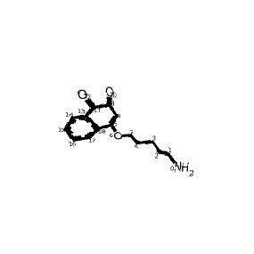 NCCCCCOC1=CC(=O)C(=O)c2ccccc21